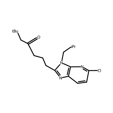 CC(C)Cn1c(CCCC(=O)CC(C)(C)C)nc2ccc(Cl)nc21